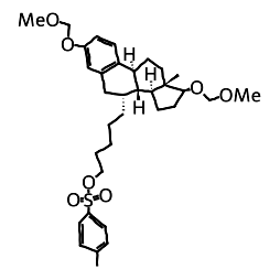 COCOc1ccc2c(c1)C[C@@H](CCCCCOS(=O)(=O)c1ccc(C)cc1)[C@@H]1[C@@H]2CC[C@]2(C)[C@@H](OCOC)CC[C@@H]12